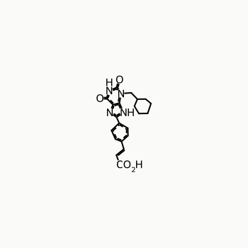 O=C(O)/C=C/c1ccc(-c2nc3c(=O)[nH]c(=O)n(CC4CCCCC4)c3[nH]2)cc1